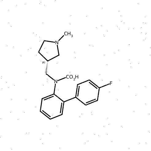 CN1CC[C@@H](CN(C(=O)O)c2ccccc2-c2ccc(F)cc2)C1